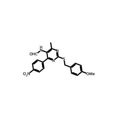 COc1ccc(CSc2nc(C)c(NC=O)c(-c3ccc([N+](=O)[O-])cc3)n2)cc1